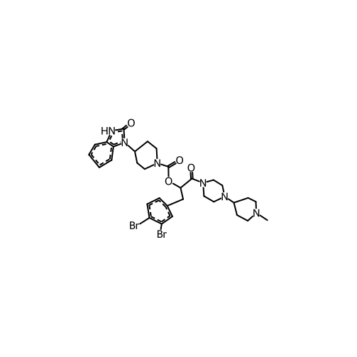 CN1CCC(N2CCN(C(=O)C(Cc3ccc(Br)c(Br)c3)OC(=O)N3CCC(n4c(=O)[nH]c5ccccc54)CC3)CC2)CC1